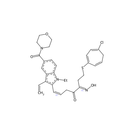 C=Cc1c(/C=C\CC(=O)/C(CCSC2=CC=C(Cl)CC=C2)=N/O)n(CC)c2ccc(C(=O)N3CCOCC3)cc12